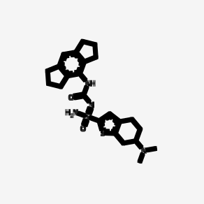 CN(C)C1CCc2cc(S(N)(=O)=NC(=O)Nc3c4c(cc5c3CCC5)CCC4)sc2C1